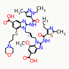 CCc1nc(C)sc1C(=O)Nc1nc2cc(C(=O)O)cc(OC)c2n1C/C=C/Cn1c(NC(=O)c2cc(C)nn2CC)nc2cc(C(=O)O)cc(SCCCN3CCOCC3)c21